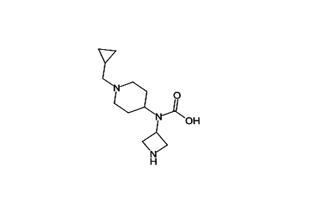 O=C(O)N(C1CCN(CC2CC2)CC1)C1CNC1